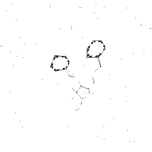 CO[C@@H]1O[C@H](COCc2ccccc2)C(OCc2ccccc2)[C@@]1(C)F